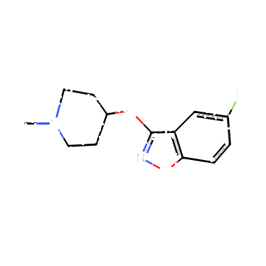 CN1CCC(Oc2noc3ccc(F)cc23)CC1